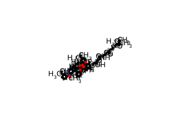 CC(C)c1cccc(C(C)C)c1/N=c1\ccc2c(-c3ccccc3S(=O)(=O)NS(=O)(=O)c3c(F)c(F)c(SCC(O)COC(=O)NCCOC(=O)CCSCCC(=O)C(C)(C)C)c(F)c3F)c3ccc(Nc4c(C(C)C)cccc4C(C)C)cc3oc-2c1